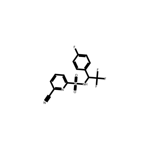 N#Cc1cccc(S(=O)(=O)NC(c2ccc(F)cc2)C(F)(F)F)n1